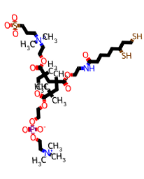 CCC(C)(CC(C)(CC(C)(C)C(=O)OCCOP(=O)([O-])OCC[N+](C)(C)C)C(=O)OCCNC(=O)CCCCC(S)CCS)C(=O)OCC[N+](C)(C)CCCS(=O)(=O)[O-]